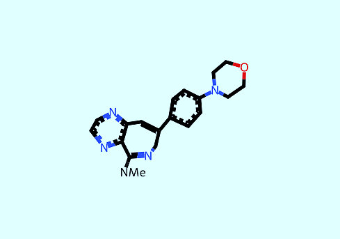 CNC1=NCC(c2ccc(N3CCOCC3)cc2)=Cc2nccnc21